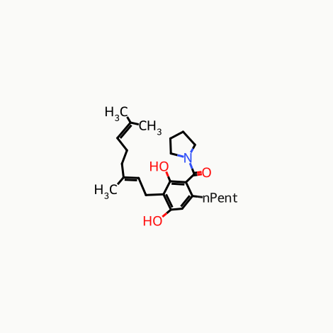 CCCCCc1cc(O)c(C/C=C(\C)CCC=C(C)C)c(O)c1C(=O)N1CCCC1